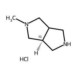 CN1CC2CNC[C@H]2C1.Cl